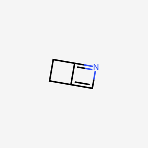 C1=C2CCC2=N1